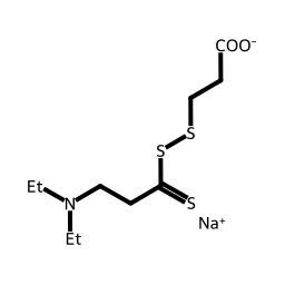 CCN(CC)CCC(=S)SSCCC(=O)[O-].[Na+]